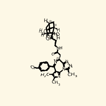 Cc1sc2c(c1C)C(c1ccc(Cl)cc1)=N[C@@H](CC(=O)NCCC[C@@]1(O)[C@H](O)C[C@@H]3C[C@H]1C3(C)C)c1nnc(C)n1-2